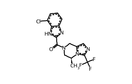 C[C@H]1CN(C(=O)c2nc3cccc(Cl)c3[nH]2)Cc2cnc(C(F)(F)F)n21